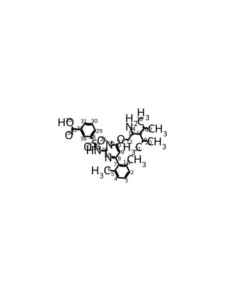 Cc1cccc(C)c1-c1cc(OCC(N)C(C(C)C)C(C)C)nc(NS(=O)(=O)c2cccc(C(=O)O)c2)n1